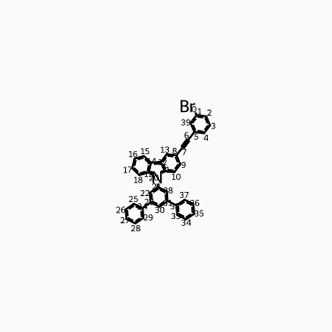 Brc1cccc(C#Cc2ccc3c(c2)c2ccccc2n3-c2cc(-c3ccccc3)cc(-c3ccccc3)c2)c1